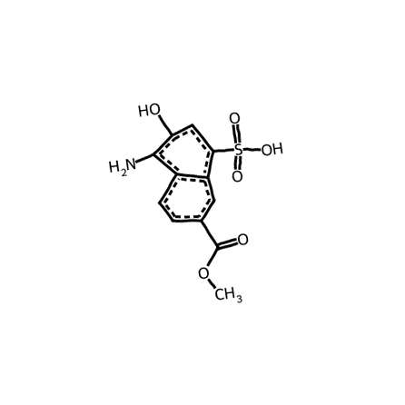 COC(=O)c1ccc2c(N)c(O)cc(S(=O)(=O)O)c2c1